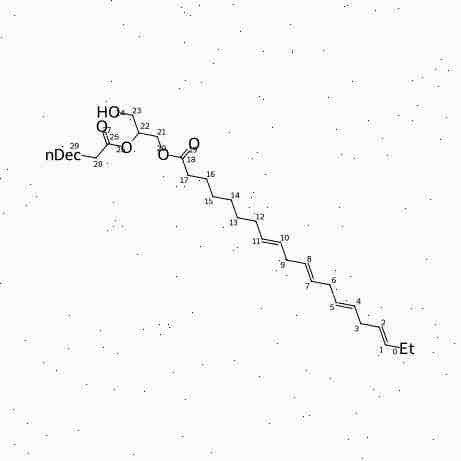 CC/C=C/C/C=C/C/C=C/C/C=C/CCCCCCC(=O)OCC(CO)OC(=O)CCCCCCCCCCC